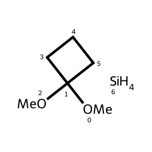 COC1(OC)CCC1.[SiH4]